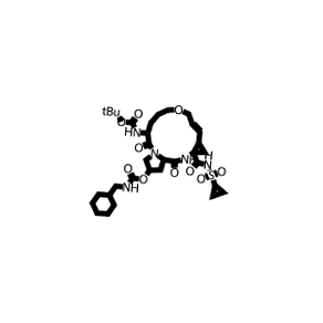 CC(C)(C)OC(=O)NC1CCCOC/C=C/C2CC2(C(=O)NS(=O)(=O)C2CC2)NC(=O)C2CC(OC(=O)NCC3CCCCC3)CN2C1=O